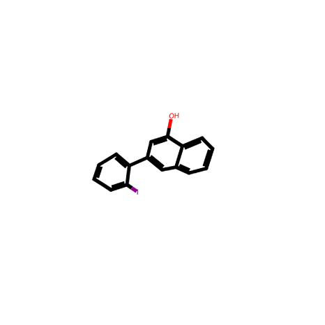 Oc1cc(-c2ccccc2I)cc2ccccc12